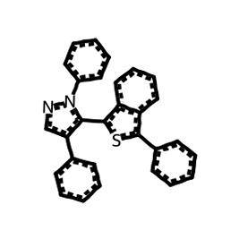 c1ccc(-c2cnn(-c3ccccc3)c2-c2sc(-c3ccccc3)c3ccccc23)cc1